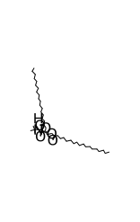 CCCCCCCCCCCCCCCCCC(=O)OCC(OC(=O)CCCCCCCCCCCCCCCCC)C(=O)NC(C)(C)C